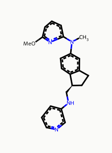 COc1cccc(N(C)c2ccc3c(c2)CC[C@H]3CNc2cccnc2)n1